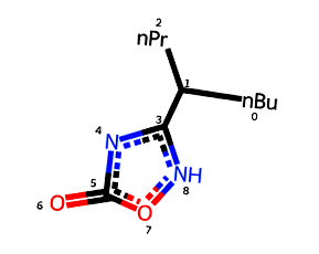 CCCCC(CCC)c1nc(=O)o[nH]1